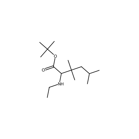 CCNC(C(=O)OC(C)(C)C)C(C)(C)CC(C)C